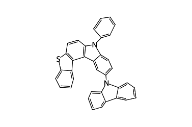 c1ccc(-n2c3ccc(-n4c5ccccc5c5ccccc54)cc3c3c4c(ccc32)sc2ccccc24)cc1